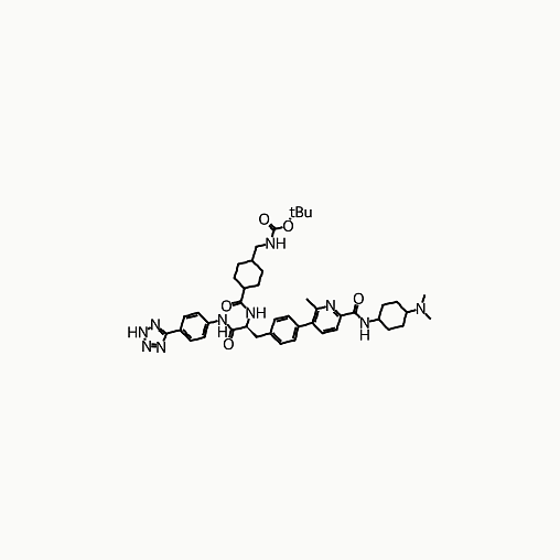 Cc1nc(C(=O)NC2CCC(N(C)C)CC2)ccc1-c1ccc(C[C@H](NC(=O)C2CCC(CNC(=O)OC(C)(C)C)CC2)C(=O)Nc2ccc(-c3nn[nH]n3)cc2)cc1